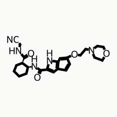 N#CCNC(=O)[C@@H]1CCCC[C@@H]1NC(=O)c1cc2ccc(OCCN3CCOCC3)cc2[nH]1